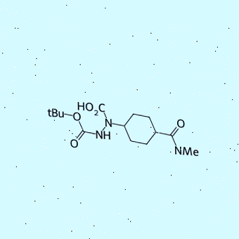 CNC(=O)C1CCC(N(NC(=O)OC(C)(C)C)C(=O)O)CC1